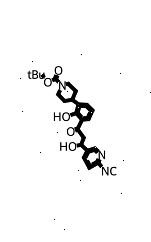 [C-]#[N+]c1ccc(C(O)CC(=O)c2cccc(C3CCN(C(=O)OC(C)(C)C)CC3)c2O)cn1